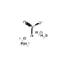 O.O.O.O=[N+]([O-])[O-].[PbH2]